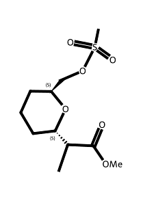 COC(=O)C(C)[C@@H]1CCC[C@@H](COS(C)(=O)=O)O1